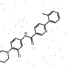 Cc1ccccc1-c1ccc(C(=O)Nc2ccc(N3CCOCC3)c(Cl)c2)cn1